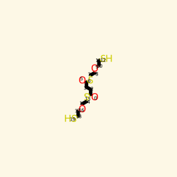 O=C(CCC(=O)SCCOCCS)SCCOCCS